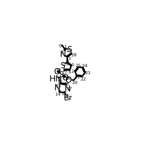 Cc1nc(-c2ccc(S(=O)(=O)Nc3ncc(Br)nc3OCc3ccccc3)s2)cs1